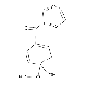 COC1(O)C=CC(C(=O)c2ccccc2)=CC1